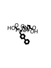 C[C@H](C[C@@H](Cc1ccc(-c2ccccc2)cc1)NC(=O)n1ccc(C(=O)O)n1)C(=O)O